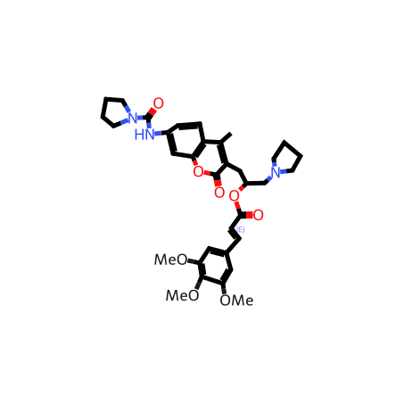 COc1cc(/C=C/C(=O)OC(Cc2c(C)c3ccc(NC(=O)N4CCCC4)cc3oc2=O)CN2CCCC2)cc(OC)c1OC